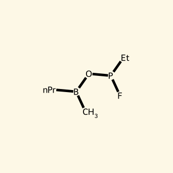 CCCB(C)OP(F)CC